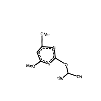 COc1cc(OC)nc(OC(C#N)C(C)(C)C)n1